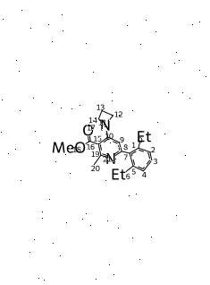 CCc1cccc(CC)c1-c1cc(N2CCC2)c(C(=O)OC)c(C)n1